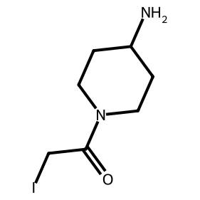 NC1CCN(C(=O)CI)CC1